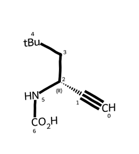 C#C[C@@H](CC(C)(C)C)NC(=O)O